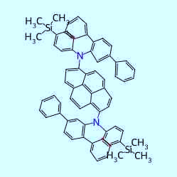 C[Si](C)(C)c1ccc(N(c2cc(-c3ccccc3)ccc2-c2ccccc2)c2ccc3ccc4c(N(c5ccc([Si](C)(C)C)cc5)c5cc(-c6ccccc6)ccc5-c5ccccc5)ccc5ccc2c3c54)cc1